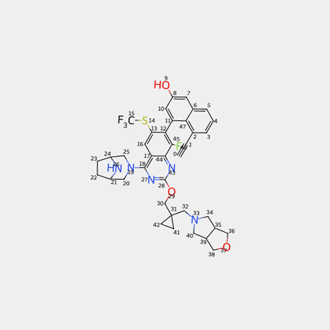 C#Cc1cccc2cc(O)cc(-c3c(SC(F)(F)F)cc4c(N5CC6CCC(C5)N6)nc(OCC5(CN6CC7COCC7C6)CC5)nc4c3F)c12